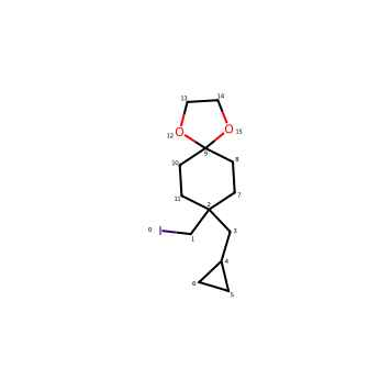 ICC1(CC2CC2)CCC2(CC1)OCCO2